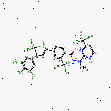 CN(NC(=O)c1ccc(/C(F)=C/C(c2cc(Cl)c(Cl)c(Cl)c2)C(F)(F)F)cc1C(F)(F)F)c1nccc(C(F)(F)F)n1